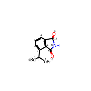 CCCCC(CCC)c1cccc2c1C(=O)NC2=O